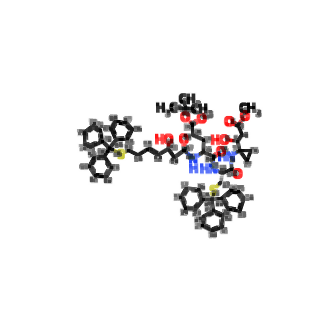 COC(=O)C[C@H](O)C1(NC(=O)[C@H](CSC(c2ccccc2)(c2ccccc2)c2ccccc2)NC(=O)C(CCC(=O)OC(C)(C)C)NC(=O)C[C@H](O)/C=C/CCSC(c2ccccc2)(c2ccccc2)c2ccccc2)CC1